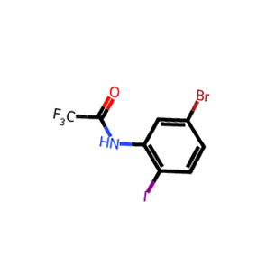 O=C(Nc1cc(Br)ccc1I)C(F)(F)F